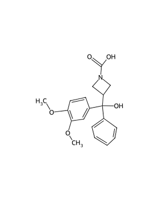 COc1ccc(C(O)(c2ccccc2)C2CN(C(=O)O)C2)cc1OC